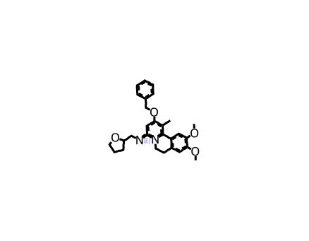 COc1cc2c(cc1OC)-c1c(C)c(OCc3ccccc3)c/c(=N\CC3CCCO3)n1CC2